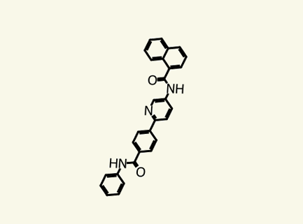 O=C(Nc1ccccc1)c1ccc(-c2ccc(NC(=O)c3cccc4ccccc34)cn2)cc1